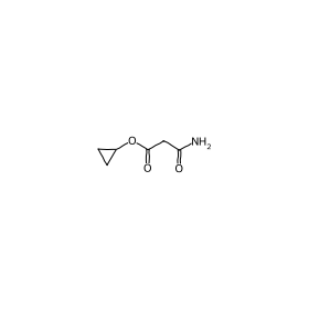 NC(=O)CC(=O)OC1CC1